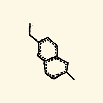 Cc1ccc2cc(CBr)ccc2c1